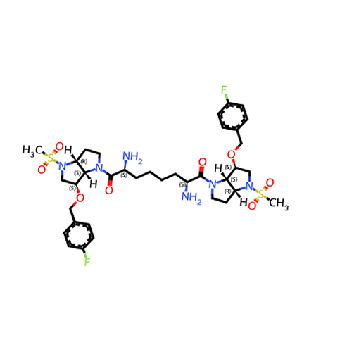 CS(=O)(=O)N1C[C@H](OCc2ccc(F)cc2)[C@@H]2[C@H]1CCN2C(=O)[C@@H](N)CCCC[C@H](N)C(=O)N1CC[C@@H]2[C@H]1[C@@H](OCc1ccc(F)cc1)CN2S(C)(=O)=O